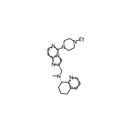 CCN1CCN(c2nccc3nc(CN(C)[C@H]4CCCc5cccnc54)cn23)CC1